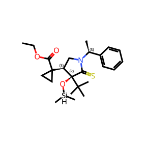 CCOC(=O)C1([C@H]2CN([C@@H](C)c3ccccc3)C(=S)[C@]2(O[SiH](C)C)C(C)(C)C)CC1